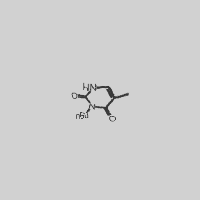 CCCCn1c(=O)[nH]cc(C)c1=O